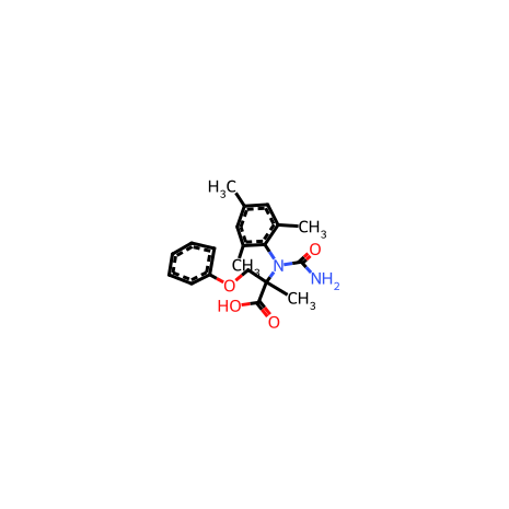 Cc1cc(C)c(N(C(N)=O)C(C)(COc2ccccc2)C(=O)O)c(C)c1